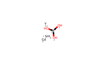 OB(O)O.[Gd].[SrH2].[Y]